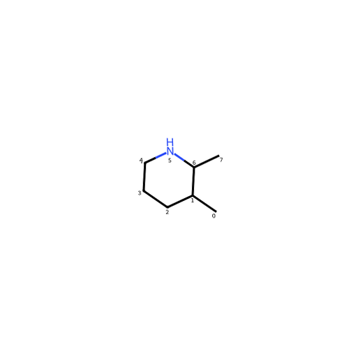 CC1CC[CH]NC1C